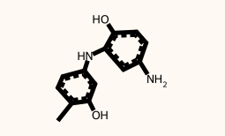 Cc1ccc(Nc2cc(N)ccc2O)cc1O